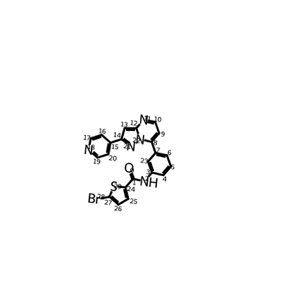 O=C(Nc1cccc(-c2ccnc3cc(-c4ccncc4)nn23)c1)c1ccc(Br)s1